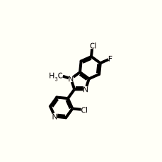 Cn1c(-c2ccncc2Cl)nc2cc(F)c(Cl)cc21